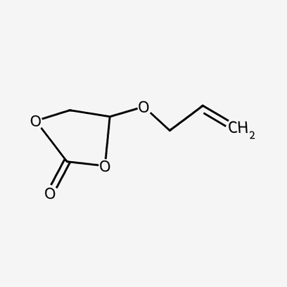 C=CCOC1COC(=O)O1